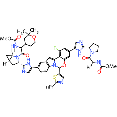 CCCc1ncc(C2Oc3cc(-c4cnc([C@@H]5CCCN5C(=O)[C@@H](NC(=O)OC)C(C)C)[nH]4)cc(F)c3-c3cc4cc(-c5cnc([C@@H]6C[C@H]7C[C@H]7N6C(=O)C(NC(=O)OC)C6CCOC(C)(C)C6)[nH]5)ccc4n32)s1